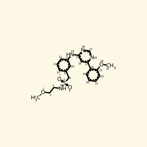 COCCNS(=O)(=O)Cc1cccc(Nc2cc(-c3ccccc3OC)ncn2)c1